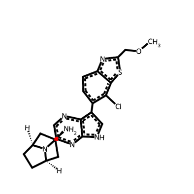 COCc1nc2ccc(-c3c[nH]c4nc(N5[C@@H]6CC[C@H]5C[C@@H](N)C6)cnc34)c(Cl)c2s1